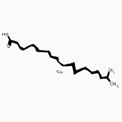 CC(C)CCCCCCCCCCCCCCC(=O)O.[Cu]